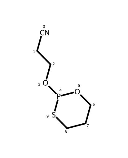 N#CCCOP1OCCCS1